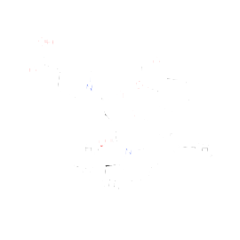 Cc1cc2c3c(c1)[C@@H](c1cccc4c1OCO4)O[C@H](CC(=O)N1CCC(C(=O)O)CC1)C(=O)N3[C@H](C(C)(C)C)CC2